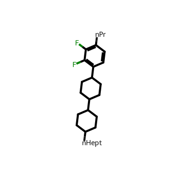 CCCCCCCC1CCC(C2CCC(c3ccc(CCC)c(F)c3F)CC2)CC1